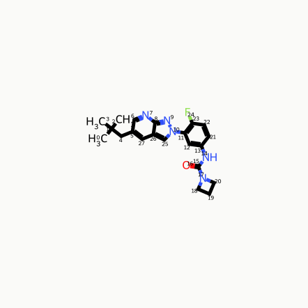 CC(C)(C)Cc1cnc2nn(-c3cc(NC(=O)N4CCC4)ccc3F)cc2c1